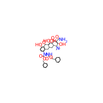 CN(C)[C@H]1C(O)=C(C(N)=O)C(=O)[C@@]2(O)C(O)=C3C(=O)c4c(O)ccc(N(NC(=O)OCc5ccccc5)C(=O)OCc5ccccc5)c4CC3CC12